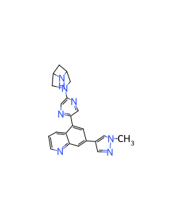 Cn1cc(-c2cc(-c3cnc(N4CC5CC(C4)N5)cn3)c3cccnc3c2)cn1